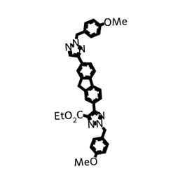 CCOC(=O)c1nn(Cc2ccc(OC)cc2)nc1-c1ccc2c(c1)Cc1cc(-c3cnn(Cc4ccc(OC)cc4)n3)ccc1-2